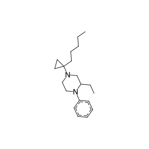 CCCCCC1(N2CCN(c3ccccc3)C(CC)C2)CC1